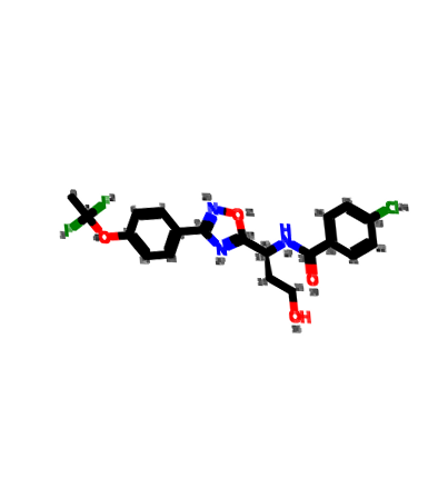 CC(F)(F)Oc1ccc(-c2noc([C@H](CCO)NC(=O)c3ccc(Cl)cc3)n2)cc1